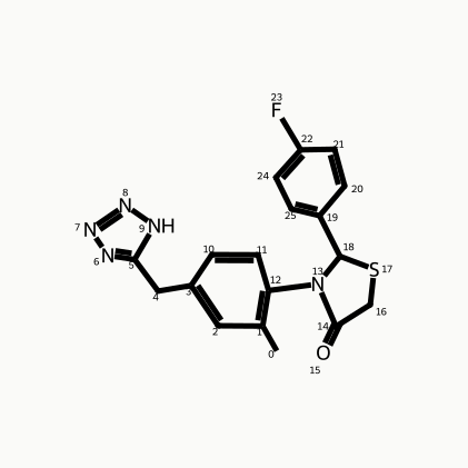 Cc1cc(Cc2nnn[nH]2)ccc1N1C(=O)CSC1c1ccc(F)cc1